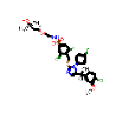 COc1cc(C(C)(C)c2cnc(SCc3c(F)cc(S(=O)(=O)NCCOCC[Si](C)(C)O)cc3Cl)n2-c2ccc(F)cc2)ccc1Cl